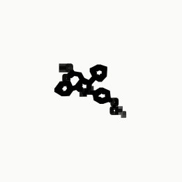 COc1ccc(-n2nc(-c3ccccc3)c(CC(=O)O)c2-c2ccccc2)cc1